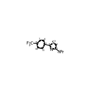 CC(C)c1csc(-c2ccc(C(F)(F)F)cc2)n1